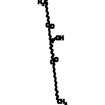 CCCCCCCCCCCCCCCCCOC(=O)CCCCCCCN(CCO)CCCCCC(=O)OCCCCCCCCCC